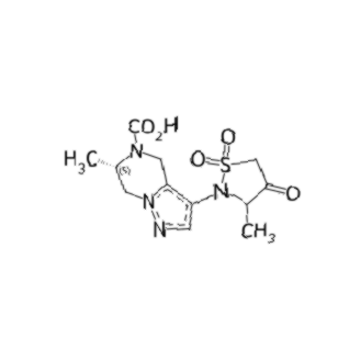 CC1C(=O)CS(=O)(=O)N1c1cnn2c1CN(C(=O)O)[C@@H](C)C2